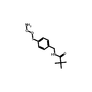 CC(C)(C)C(=O)NCc1ccc(SOON)cc1